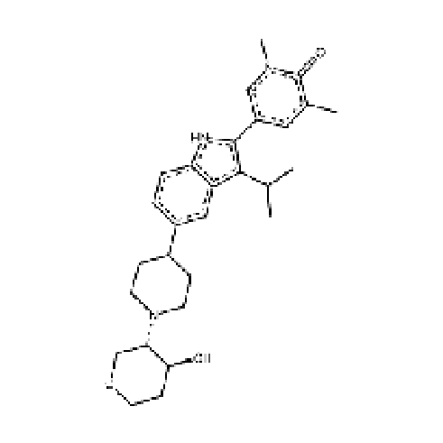 Cc1cc(-c2[nH]c3ccc(C4CCN([C@H]5COCC[C@@H]5O)CC4)cc3c2C(C)C)cn(C)c1=O